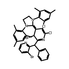 Cc1cc(C)c(N2CCN(c3c(C)cc(C)cc3C)C2=C2C(Cl)=C(Cl)N=C(C(c3ccccc3)c3ncccc3Br)C2Br)c(C)c1